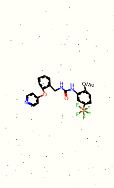 COc1ccc(S(F)(F)(F)(F)F)cc1NC(=O)NCc1ccccc1Oc1ccncc1